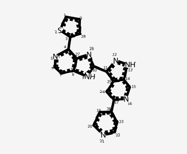 c1csc(-c2nccc3[nH]c(-c4n[nH]c5cnc(-c6ccncc6)cc45)nc23)c1